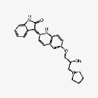 O=C1Nc2ccccc2C1=C1C=Cc2cc(OCC(O)CN3CCCC3)ccc2N1